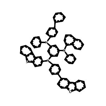 c1ccc(-c2ccc(N(c3ccccc3)c3cc(N(c4ccc(-c5ccc6oc7ccccc7c6c5)cc4)c4ccc5sc6ccccc6c5c4)cc(N(c4ccccc4)c4cccc5ccccc45)c3)cc2)cc1